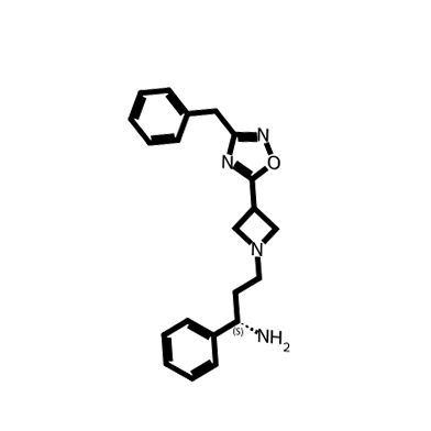 N[C@@H](CCN1CC(c2nc(Cc3ccccc3)no2)C1)c1ccccc1